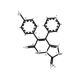 C=C1NN=C2C(c3ccncc3)=C(c3ccc(Cl)cc3)C(=O)NN12